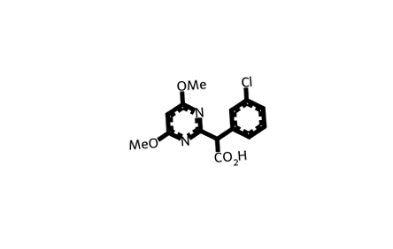 COc1cc(OC)nc(C(C(=O)O)c2cccc(Cl)c2)n1